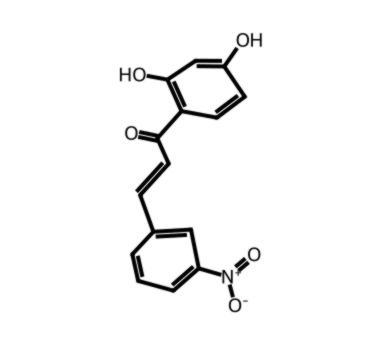 O=C(/C=C/c1cccc([N+](=O)[O-])c1)c1ccc(O)cc1O